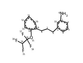 Nc1cccc(CCCc2ccccc2OC(F)(F)C(F)F)c1